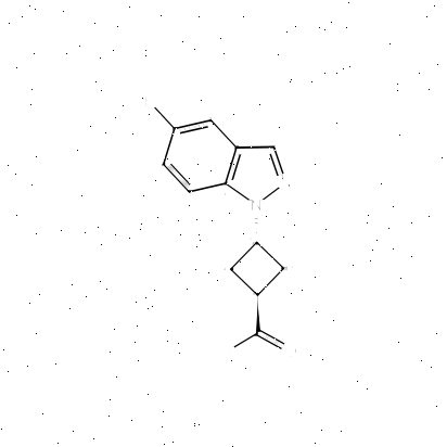 O=C(O)[C@H]1C[C@H](n2ncc3cc(F)ccc32)C1